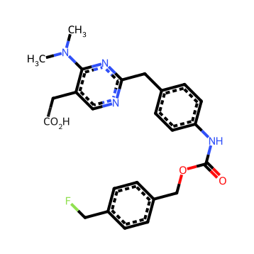 CN(C)c1nc(Cc2ccc(NC(=O)OCc3ccc(CF)cc3)cc2)ncc1CC(=O)O